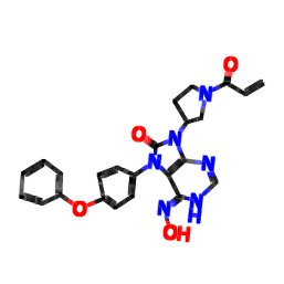 C=CC(=O)N1CCC(n2c(=O)n(-c3ccc(Oc4ccccc4)cc3)c3c(=NO)[nH]cnc32)C1